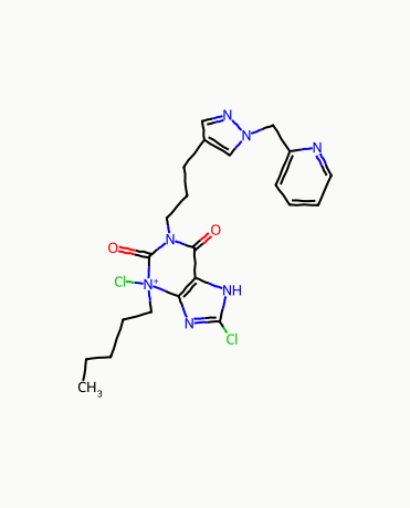 CCCCC[N+]1(Cl)C(=O)N(CCCc2cnn(Cc3ccccn3)c2)C(=O)c2[nH]c(Cl)nc21